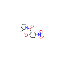 O=C1c2cc([N+](=O)[O-])ccc2OC[C@@H]2CCCN12